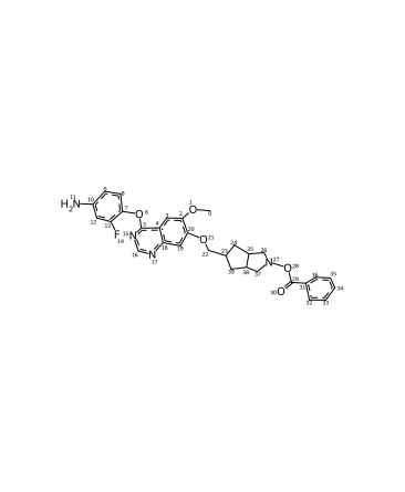 COc1cc2c(Oc3ccc(N)cc3F)ncnc2cc1OCC1CC2CN(OC(=O)c3ccccc3)CC2C1